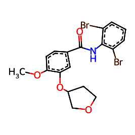 COc1ccc(C(=O)Nc2c(Br)cccc2Br)cc1OC1CCOC1